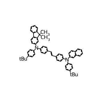 CC(C)(C)c1ccc(N(c2ccc(/C=C/c3ccc(N(c4ccc(C(C)(C)C)cc4)c4ccc5ccccc5c4)cc3)cc2)c2ccc3c(c2)C(C)(C)c2ccccc2-3)cc1